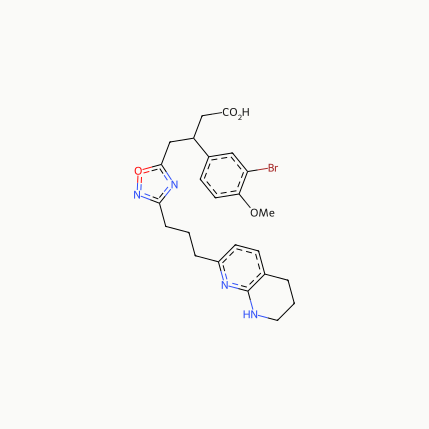 COc1ccc(C(CC(=O)O)Cc2nc(CCCc3ccc4c(n3)NCCC4)no2)cc1Br